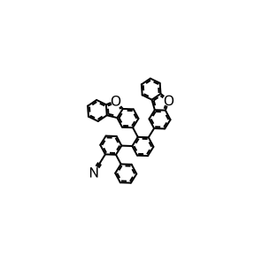 N#Cc1cccc(-c2cccc(-c3ccc4oc5ccccc5c4c3)c2-c2ccc3oc4ccccc4c3c2)c1-c1ccccc1